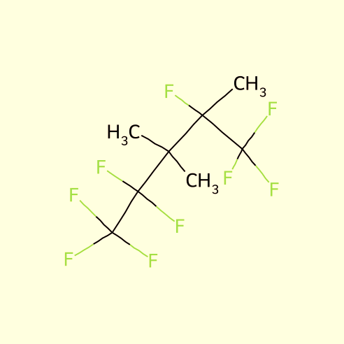 CC(C)(C(C)(F)C(F)(F)F)C(F)(F)C(F)(F)F